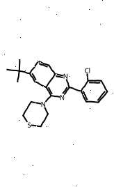 CC(C)(C)c1ccc2nc(-c3ccccc3Cl)nc(N3CCSCC3)c2c1